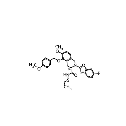 CCSNC(=O)[C@@H]1Cc2c(ccc(OC)c2OCc2ccc(OC)cc2)CN1c1nc2ccc(F)cc2o1